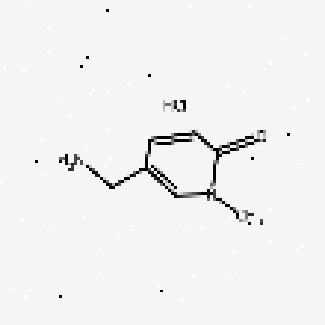 Cl.Cn1cc(CN)ccc1=O